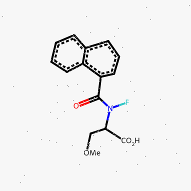 COCC(C(=O)O)N(F)C(=O)c1cccc2ccccc12